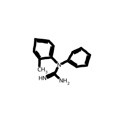 Cc1ccccc1N(C(=N)N)c1ccccc1